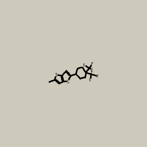 Cc1cc2sc(C3CCC(C(F)(F)F)(C(F)(F)F)CC3)cc2s1